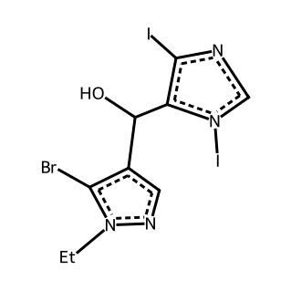 CCn1ncc(C(O)c2c(I)ncn2I)c1Br